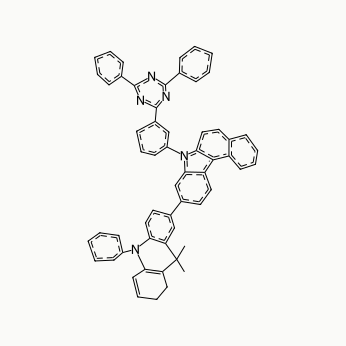 CC1(C)C2=C(C=CCC2)N(c2ccccc2)c2ccc(-c3ccc4c5c6ccccc6ccc5n(-c5cccc(-c6nc(-c7ccccc7)nc(-c7ccccc7)n6)c5)c4c3)cc21